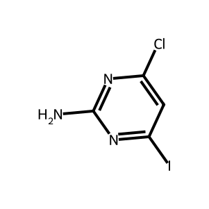 Nc1nc(Cl)cc(I)n1